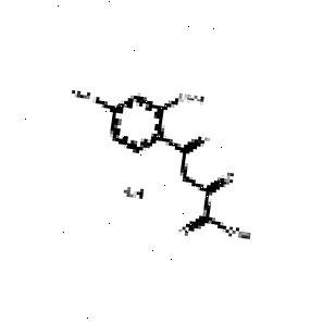 COC(=O)C(=O)CC(=O)c1ccc(OC)cc1OC.[NaH]